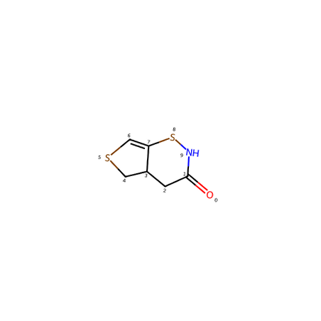 O=C1CC2CSC=C2SN1